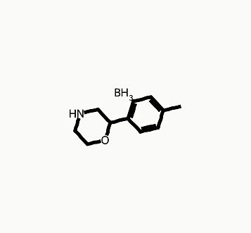 B.Cc1ccc(C2CNCCO2)cc1